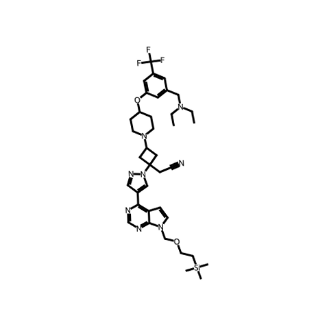 CCN(CC)Cc1cc(OC2CCN(C3CC(CC#N)(n4cc(-c5ncnc6c5ccn6COCC[Si](C)(C)C)cn4)C3)CC2)cc(C(F)(F)F)c1